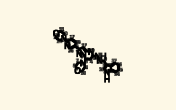 C(=NNc1cc(N2CCOCC2)n2nc(-c3ccc(N4CCOCC4)nc3)cc2n1)c1c[nH]c2ccccc12